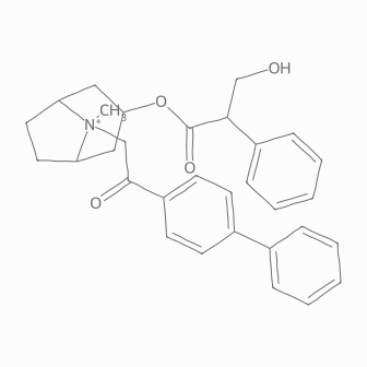 C[N+]1(CC(=O)c2ccc(-c3ccccc3)cc2)C2CCC1CC(OC(=O)C(CO)c1ccccc1)C2